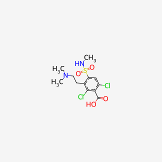 CNS(=O)(=O)c1cc(Cl)c(C(=O)O)c(Cl)c1CCN(C)C